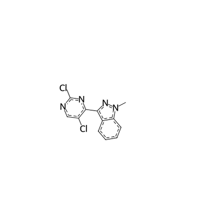 Cn1nc(-c2nc(Cl)ncc2Cl)c2ccccc21